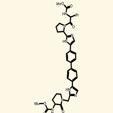 COC(=O)NC(C(=O)N1CCCC1c1ncc(-c2ccc(-c3ccc(-c4cnc(CN5CCCC(NC(=O)OC(C)(C)C)C5=O)[nH]4)cc3)cc2)[nH]1)C(C)C